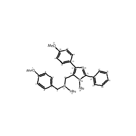 CCCCN(Cc1ccc(OC)cc1)Cc1c(-c2ccc(OC)cc2)nc(-c2ccccc2)n1CCCC